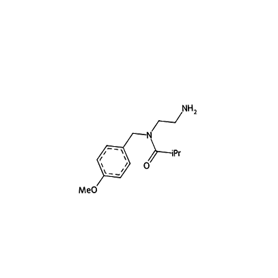 COc1ccc(CN(CCN)C(=O)C(C)C)cc1